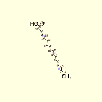 CC/C=C/CCCC/C=C/CCCCC/C=C/CCC(=O)O